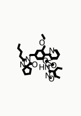 CCCCC1=NC2(CCCC2)C(=O)N1Cc1ccc(-c2ncccc2S(=O)(=O)Nc2noc(C)c2CC)c(COCC)c1